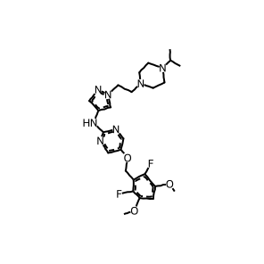 COc1cc(OC)c(F)c(COc2cnc(Nc3cnn(CCN4CCN(C(C)C)CC4)c3)nc2)c1F